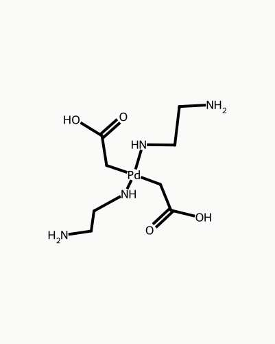 NCC[NH][Pd]([CH2]C(=O)O)([CH2]C(=O)O)[NH]CCN